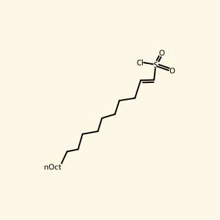 CCCCCCCCCCCCCCCCC=CS(=O)(=O)Cl